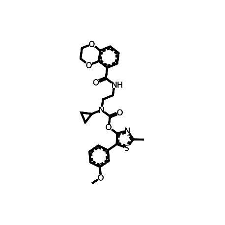 COc1cccc(-c2sc(C)nc2OC(=O)N(CCNC(=O)c2cccc3c2OCCO3)C2CC2)c1